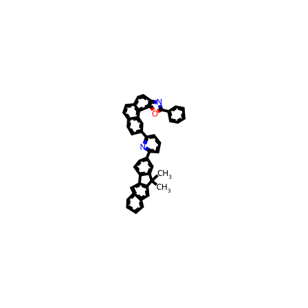 CC1(C)c2cc(-c3cccc(-c4ccc5ccc6ccc7nc(-c8ccccc8)oc7c6c5c4)n3)ccc2-c2cc3ccccc3cc21